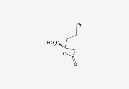 CC(C)CC[C@]1(C(=O)O)CC(=O)O1